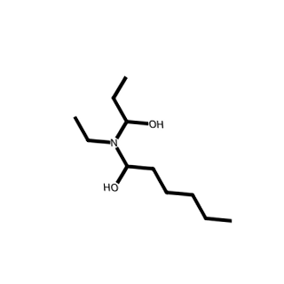 CCCCCC(O)N(CC)C(O)CC